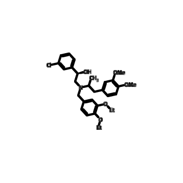 CCOc1ccc(CN(C[C@H](O)c2cccc(Cl)c2)C(C)Cc2ccc(OC)c(OC)c2)cc1OCC